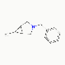 CCC1C2CN(Cc3ccccc3)CC12